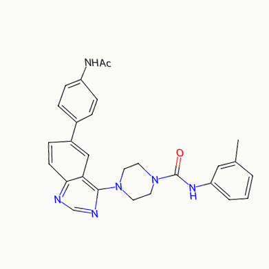 CC(=O)Nc1ccc(-c2ccc3ncnc(N4CCN(C(=O)Nc5cccc(C)c5)CC4)c3c2)cc1